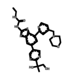 CCNC(=O)Nc1nc2cc(-c3cnc(C(C)(O)CO)nc3)cc(-c3cc(CN4CCOCC4)ccn3)c2s1